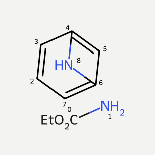 CCOC(N)=O.c1cc2cc(c1)N2